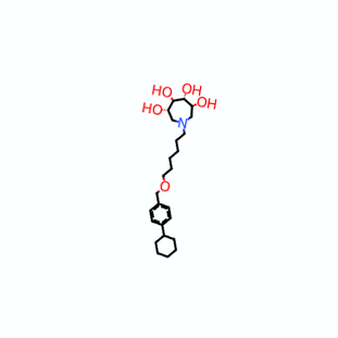 O[C@H]1[C@H](O)[C@@H](O)CN(CCCCCCOCc2ccc(C3CCCCC3)cc2)C[C@@H]1O